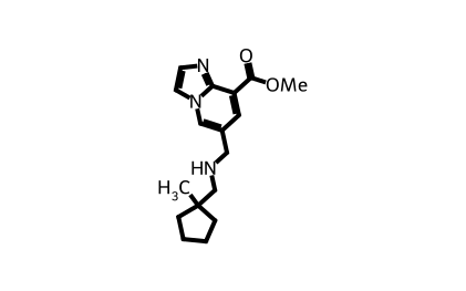 COC(=O)c1cc(CNCC2(C)CCCC2)cn2ccnc12